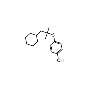 CC(C)(CC1CCCCC1)Sc1ccc(O)cc1